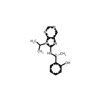 CC(C)n1c(N[C@H](C)c2ccccc2O)nc2cncnc21